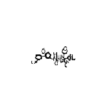 CCc1nc2c(cnn2CC)c(NC2CCOCC2)c1CNC(=O)NCc1ccc(OC)c(-c2cccc(C=O)c2)c1